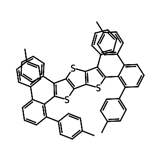 Cc1ccc(-c2cccc(-c3ccc(C)cc3)c2-c2sc3c(sc4c(-c5ccccc5)c(-c5c(-c6ccc(C)cc6)cccc5-c5ccc(C)cc5)sc43)c2-c2ccccc2)cc1